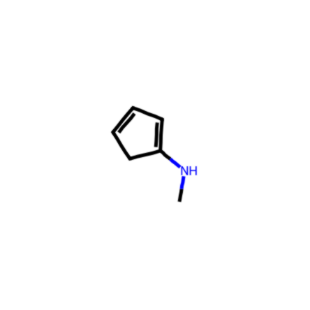 CNC1=CC=CC1